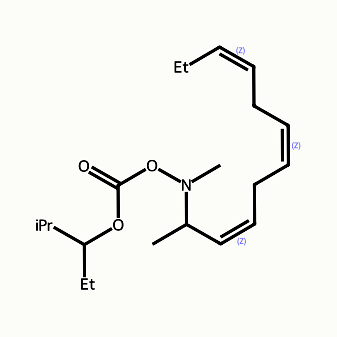 CC/C=C\C/C=C\C/C=C\C(C)N(C)OC(=O)OC(CC)C(C)C